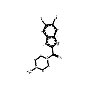 CN1CCN(C(=O)c2nc3cc(F)c(Cl)cc3[nH]2)CC1